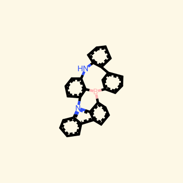 c1cc2cc(c1)-c1ccccc1Nc1cccc3c1B2c1cccc2c4ccccc4n-3c12